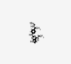 C=C(NCC(C)(C)C)c1ccc(Nc2nc(NCC(F)(F)F)c3cc[nH]c3n2)cc1